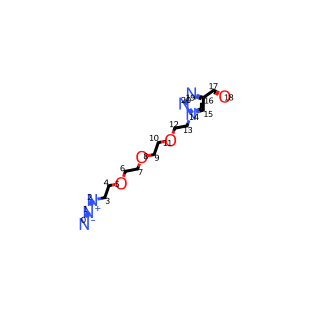 [N-]=[N+]=NCCOCCOCCOCCn1cc(C=O)nn1